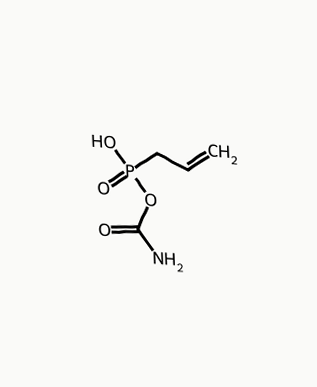 C=CCP(=O)(O)OC(N)=O